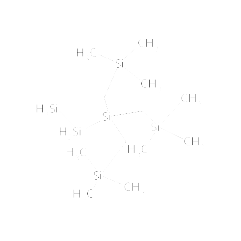 C[Si](C)(C)C[Si](C[Si](C)(C)C)(C[Si](C)(C)C)[SiH2][SiH3]